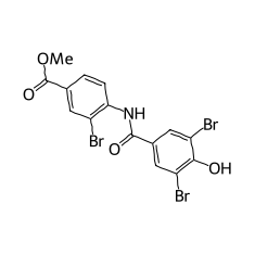 COC(=O)c1ccc(NC(=O)c2cc(Br)c(O)c(Br)c2)c(Br)c1